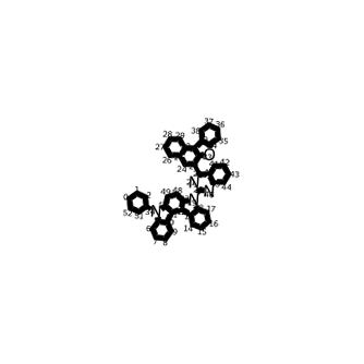 c1ccc(-n2c3ccccc3c3c4c5ccccc5n(-c5nc(-c6cc7ccccc7c7c6oc6ccccc67)c6ccccc6n5)c4ccc32)cc1